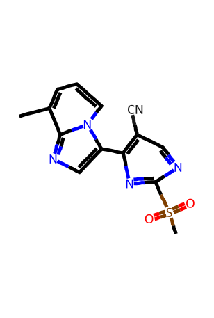 Cc1cccn2c(-c3nc(S(C)(=O)=O)ncc3C#N)cnc12